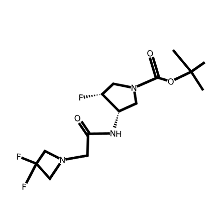 CC(C)(C)OC(=O)N1C[C@@H](F)[C@@H](NC(=O)CN2CC(F)(F)C2)C1